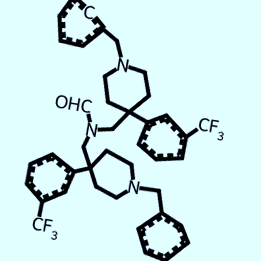 O=CN(CC1(c2cccc(C(F)(F)F)c2)CCN(Cc2ccccc2)CC1)CC1(c2cccc(C(F)(F)F)c2)CCN(Cc2ccccc2)CC1